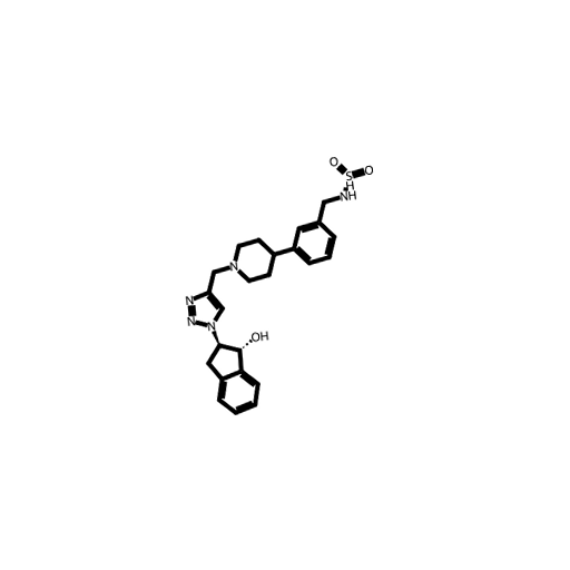 O=[SH](=O)NCc1cccc(C2CCN(Cc3cn([C@@H]4Cc5ccccc5[C@H]4O)nn3)CC2)c1